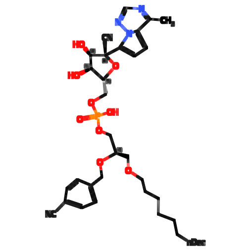 CCCCCCCCCCCCCCCCOC[C@H](COP(=O)(O)OC[C@H]1O[C@@](C#N)(c2ccc3c(C)ncnn23)[C@H](O)[C@@H]1O)OCc1ccc(C#N)cc1